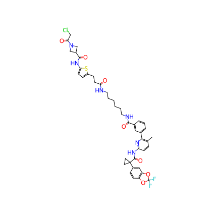 Cc1ccc(NC(=O)C2(c3ccc4c(c3)OC(F)(F)O4)CC2)nc1-c1cccc(C(=O)NCCCCCCNC(=O)CCc2ccc(NC(=O)C3CN(C(=O)CCl)C3)s2)c1